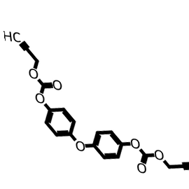 C#CCOC(=O)Oc1ccc(Oc2ccc(OC(=O)OCC#C)cc2)cc1